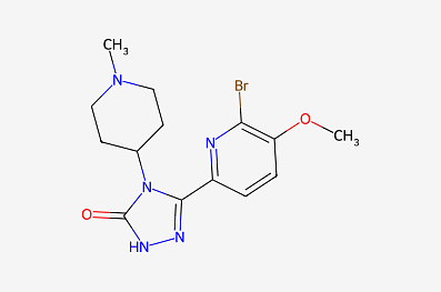 COc1ccc(-c2n[nH]c(=O)n2C2CCN(C)CC2)nc1Br